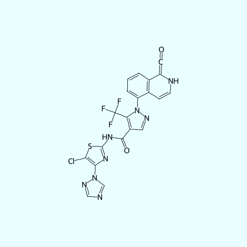 O=C=C1NC=Cc2c1cccc2-n1ncc(C(=O)Nc2nc(-n3cncn3)c(Cl)s2)c1C(F)(F)F